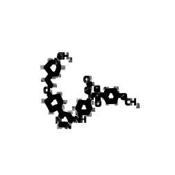 COc1ccc(S(=O)(=O)N(OC=O)c2ccc(Nc3cc(-c4ccc(OCCC5CCN(C)CC5)cc4)ncn3)cc2)cc1